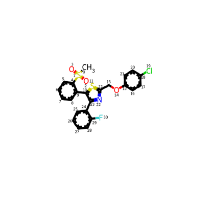 CS(=O)(=O)c1ccccc1-c1sc(COc2ccc(Cl)cc2)nc1-c1ccccc1F